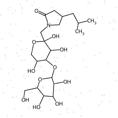 CC(C)CC1CC(=O)N(CC2(O)OCC(O)C(OC3OC(CO)C(O)C(O)C3O)C2O)C1